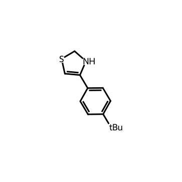 CC(C)(C)c1ccc(C2=CSCN2)cc1